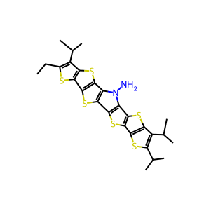 CCc1sc2c(sc3c2sc2c4sc5c6sc(C(C)C)c(C(C)C)c6sc5c4n(N)c32)c1C(C)C